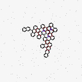 c1ccc(-c2cccc(-c3cccc(-c4cccc(-c5ccccc5)c4)c3N3c4cc(-c5c6ccccc6c(-c6ccc7ccccc7c6)c6ccccc56)ccc4B4c5ccc(-c6c7ccccc7c(-c7ccc8ccccc8c7)c7ccccc67)cc5N(c5c(-c6cccc(-c7ccccc7)c6)cccc5-c5cccc(-c6ccccc6)c5)c5cc(-n6c7ccccc7c7ccccc76)cc3c54)c2)cc1